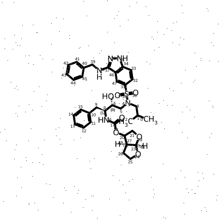 CC(C)CN(C[C@@H](O)[C@H](Cc1ccccc1)NC(=O)OC1CO[C@H]2OCC[C@@H]12)S(=O)(=O)c1ccc2[nH]nc(NCc3ccccc3)c2c1